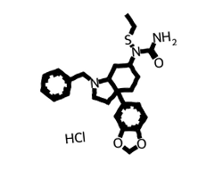 CCSN(C(N)=O)C1CCC2(c3ccc4c(c3)OCO4)CCN(Cc3ccccc3)C2C1.Cl